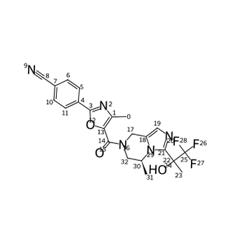 Cc1nc(-c2ccc(C#N)cc2)oc1C(=O)N1Cc2cnc(C(C)(O)C(F)(F)F)n2[C@@H](C)C1